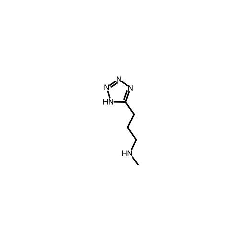 CNCCCc1nnn[nH]1